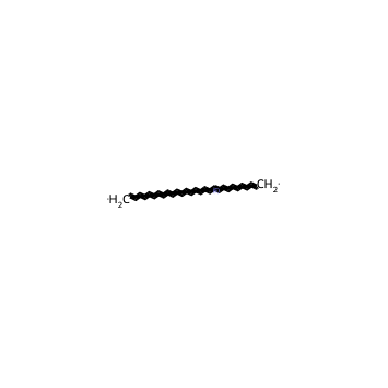 [CH2]CCCCCCCC/C=C/CCCCCCCCCCCCCCCCCC[CH2]